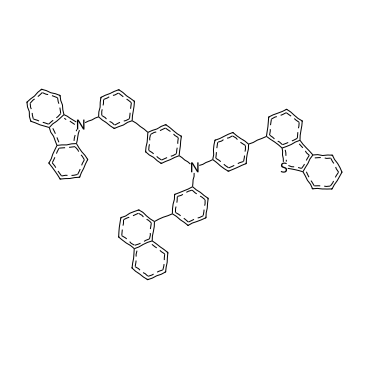 c1cc(-c2cccc3ccccc23)cc(N(c2ccc(-c3cccc(-n4c5ccccc5c5ccccc54)c3)cc2)c2ccc(-c3cccc4c3sc3ccccc34)cc2)c1